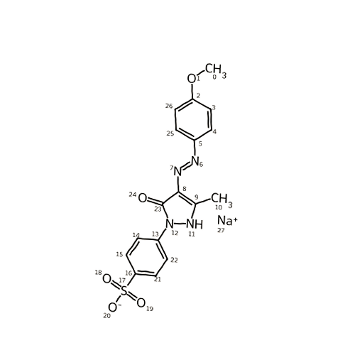 COc1ccc(N=Nc2c(C)[nH]n(-c3ccc(S(=O)(=O)[O-])cc3)c2=O)cc1.[Na+]